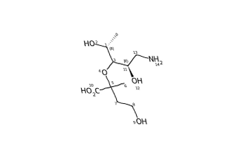 C[C@@H](O)C(OC(C)(CCO)C(=O)O)[C@H](O)CN